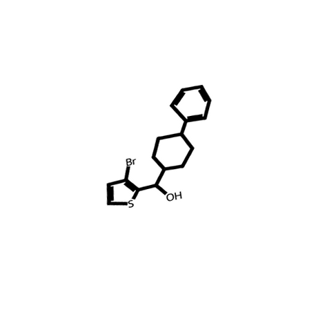 OC(c1sccc1Br)C1CCC(c2ccccc2)CC1